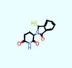 O=C1CCC(N2C(=O)c3ccccc3C2S)C(=O)N1